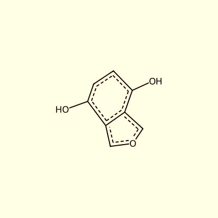 Oc1ccc(O)c2cocc12